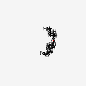 Cc1[nH]nc(Nc2ncnc3cc(OCCOCCOc4ccc(C[C@H](NC(=O)[C@H](C)N(C)C(=O)O)C(=O)N5CCC[C@H]5c5nc(C(=O)c6ccc(F)cc6)cs5)cc4)c(S(=O)(=O)C(C)(C)C)cc23)c1C